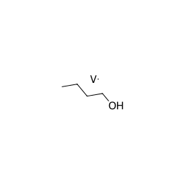 CCCCO.[V]